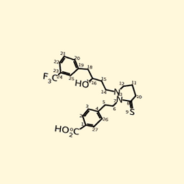 O=C(O)c1ccc(CCN2C(=S)CCCN2CCC(O)Cc2cccc(C(F)(F)F)c2)cc1